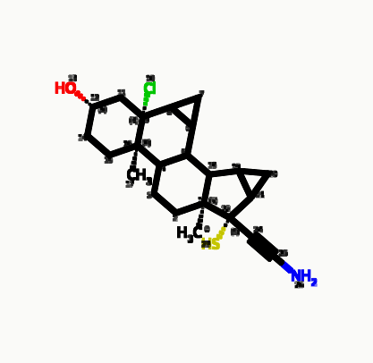 C[C@]12CCC3C(C4CC4[C@]4(Cl)C[C@@H](O)CC[C@]34C)C1C1CC1[C@@]2(S)C#CN